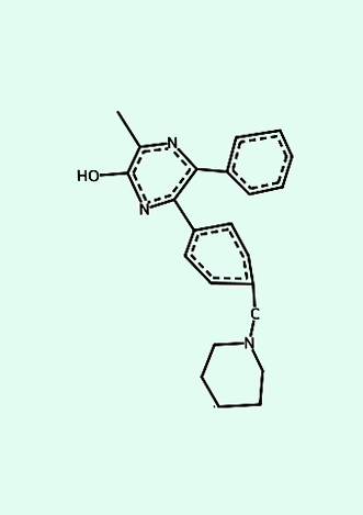 Cc1nc(-c2ccccc2)c(-c2ccc(CN3CC[CH]CC3)cc2)nc1O